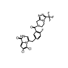 O=C(c1cc(Cc2c[nH]c(=O)c3cc(Cl)c(Cl)n23)ccc1F)N1CCn2c(nnc2C(F)(F)F)C1